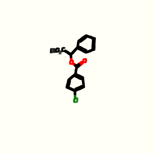 CCOC(=O)C(OC(=O)c1ccc(Cl)cc1)c1ccccc1